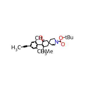 CC#Cc1cc(C)c(C2=C(OC)CC3(C=CN(C(=O)OC(C)(C)C)CC3)CC2=O)c(C)c1